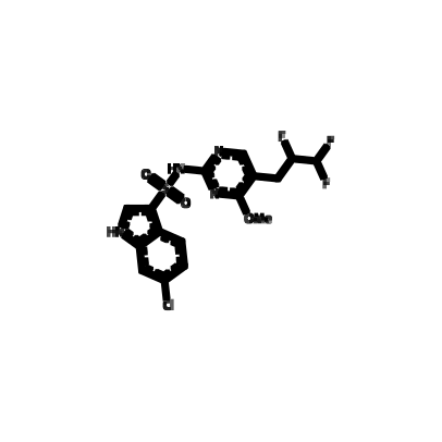 COc1nc(NS(=O)(=O)c2c[nH]c3cc(Cl)ccc23)ncc1CC(F)C(F)F